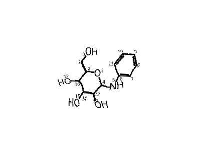 OCC1OC(Nc2ccccc2)C(O)C(O)C1O